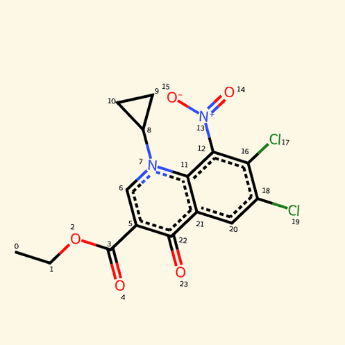 CCOC(=O)c1cn(C2CC2)c2c([N+](=O)[O-])c(Cl)c(Cl)cc2c1=O